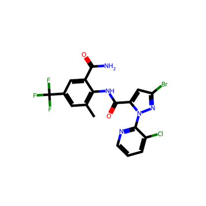 Cc1cc(C(F)(F)F)cc(C(N)=O)c1NC(=O)c1cc(Br)nn1-c1ncccc1Cl